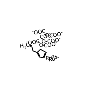 C=CCC1=CC=CC1.O=C([O-])OC(=O)[O-].O=C([O-])OC(=O)[O-].O=C([O-])OC(=O)[O-].[Ru+3].[Ru+3]